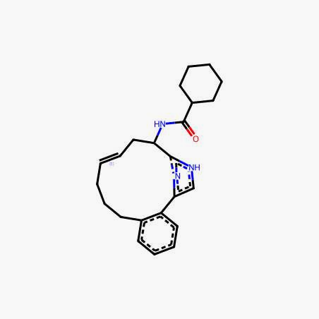 O=C(NC1C/C=C/CCCc2ccccc2-c2c[nH]c1n2)C1CCCCC1